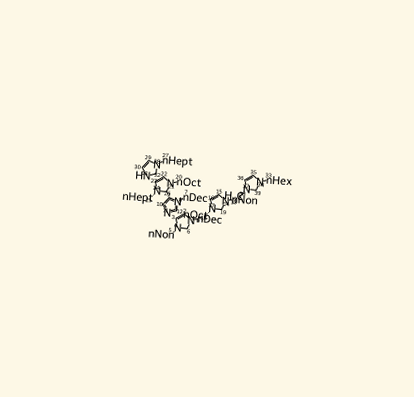 CCCCCCCCCCN1C=CN(CCCCCCCCC)C1.CCCCCCCCCCn1ccnc1.CCCCCCCCCN1C=CN(CCCCCCCC)C1.CCCCCCCCN1C=CN(CCCCCCC)C1.CCCCCCCN1C=CNC1.CCCCCCN1C=CN(C)C1